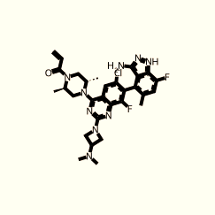 C=CC(=O)N1C[C@H](C)N(c2nc(N3CC(N(C)C)C3)nc3c(F)c(-c4c(C)cc(F)c5[nH]nc(N)c45)c(Cl)cc23)C[C@H]1C